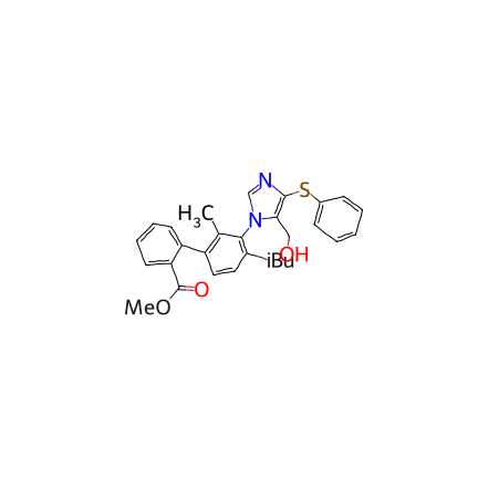 CCC(C)c1ccc(-c2ccccc2C(=O)OC)c(C)c1-n1cnc(Sc2ccccc2)c1CO